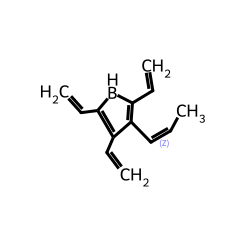 C=CC1=C(C=C)C(/C=C\C)=C(C=C)B1